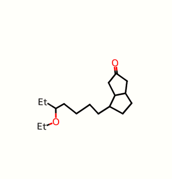 CCOC(CC)CCCCC1CCC2CC(=O)CC12